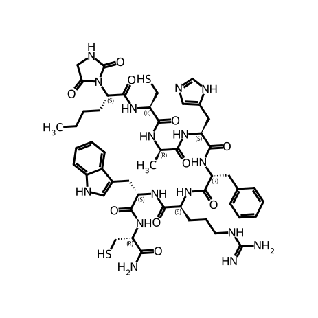 CCCC[C@@H](C(=O)N[C@@H](CS)C(=O)N[C@H](C)C(=O)N[C@@H](Cc1cnc[nH]1)C(=O)N[C@H](Cc1ccccc1)C(=O)N[C@@H](CCCNC(=N)N)C(=O)N[C@@H](Cc1c[nH]c2ccccc12)C(=O)N[C@@H](CS)C(N)=O)N1C(=O)CNC1=O